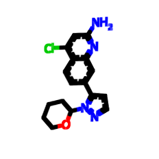 Nc1cc(Cl)c2ccc(-c3ccnn3C3CCCCO3)cc2n1